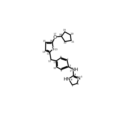 c1cc(NC2=NCCN2)ccc1Cc1ccc(OC2CCCC2)s1